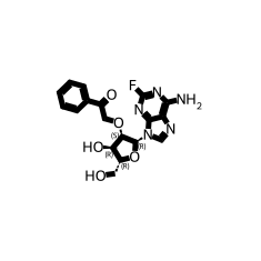 Nc1nc(F)nc2c1ncn2[C@@H]1O[C@H](CO)[C@@H](O)[C@@H]1OCC(=O)c1ccccc1